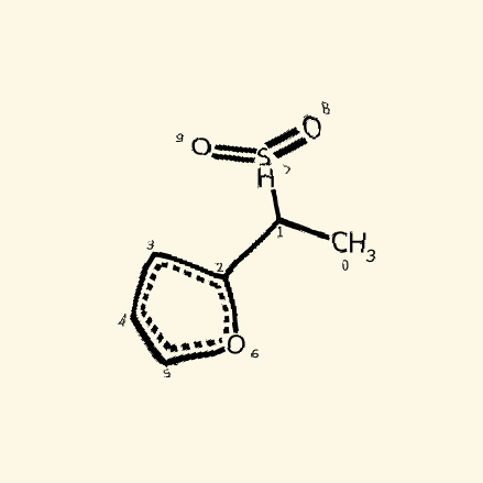 CC(c1cc[c]o1)[SH](=O)=O